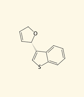 C1=C[C@@H](c2csc3ccccc23)OC1